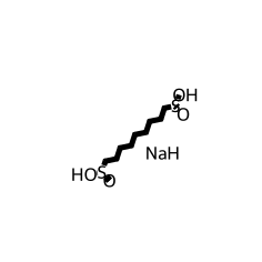 O=S(O)CCCCCCCCCS(=O)O.[NaH]